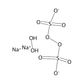 O=S(=O)([O-])OOS(=O)(=O)[O-].OO.[Na+].[Na+]